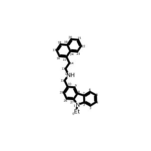 CCn1c2ccccc2c2cc(CNCCc3cccc4ccccc34)ccc21